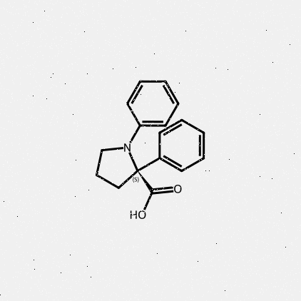 O=C(O)[C@@]1(c2ccccc2)CCCN1c1ccccc1